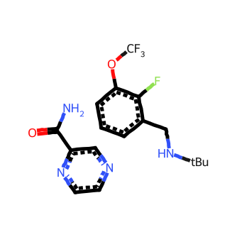 CC(C)(C)NCc1cccc(OC(F)(F)F)c1F.NC(=O)c1cnccn1